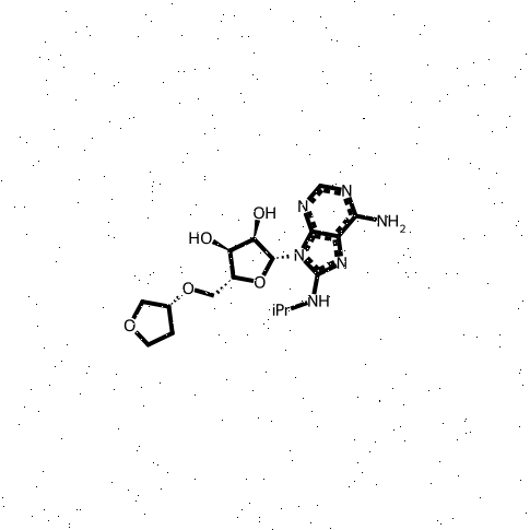 CC(C)Nc1nc2c(N)ncnc2n1[C@@H]1O[C@H](CO[C@@H]2CCOC2)[C@@H](O)[C@H]1O